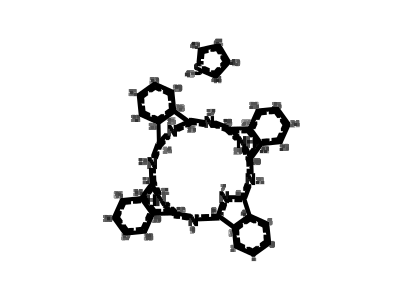 c1ccc2c(c1)-c1nc-2nc2[nH]c(nc3nc(nc4[nH]c(n1)c1ccccc41)-c1ccccc1-3)c1ccccc21.c1ccsc1